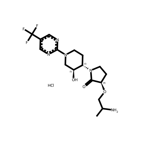 CC(N)CO[C@@H]1CCN([C@H]2CCN(c3ncc(C(F)(F)F)cn3)C[C@@H]2O)C1=O.Cl